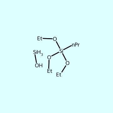 CCC[Si](OCC)(OCC)OCC.O[SiH3]